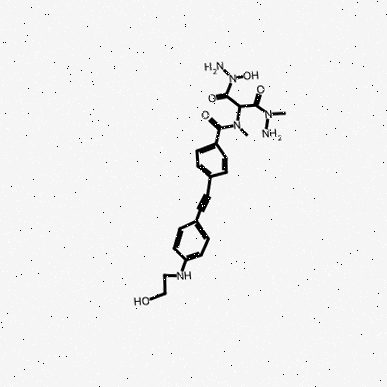 CN(N)C(=O)C(C(=O)N(N)O)N(C)C(=O)c1ccc(C#Cc2ccc(NCCO)cc2)cc1